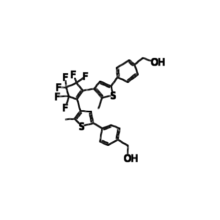 Cc1sc(-c2ccc(CO)cc2)cc1C1=C(c2cc(-c3ccc(CO)cc3)sc2C)C(F)(F)C(F)(F)C1(F)F